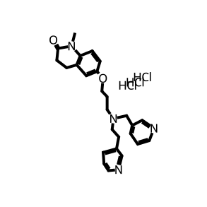 CN1C(=O)CCc2cc(OCCCN(CCc3cccnc3)Cc3cccnc3)ccc21.Cl.Cl.Cl